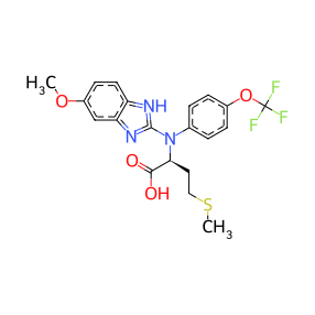 COc1ccc2[nH]c(N(c3ccc(OC(F)(F)F)cc3)[C@@H](CCSC)C(=O)O)nc2c1